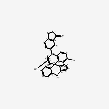 O=C1OCc2ccc(N3c4ccc(F)cc4C4(c5ccccc5Oc5ccccc54)c4cc(F)ccc43)cc21